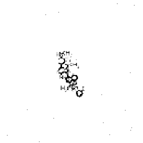 CNC1CC=C(c2cnc(N)c3c(-c4ccc(N(C)S(=O)(=O)Cc5ccccc5Cl)c5ccccc45)nc(C(C)C)n23)CC1